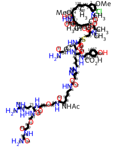 COc1cc2cc(c1Cl)N(C)C(=O)C[C@H](OC(=O)[C@H](C)N(C)C(=O)CCSCC(=O)N[C@@H](CCCCC(N)=O)C(=O)N[C@@H](CCCCn1cc(COC(=O)NCCCCC[C@H](NC(C)=O)C(=O)NCCOCCC(=O)N[C@@H](CCCNC(=N)N)C(=O)NCCOCCC(=O)NCC(N)=O)nn1)C(=O)N[C@@H](Cc1ccc(O)cc1)C(=O)O)[C@]1(C)O[C@H]1[C@H](C)[C@@H]1C[C@@](O)(NC(=O)O1)[C@H](OC)/C=C/C=C(\C)C2